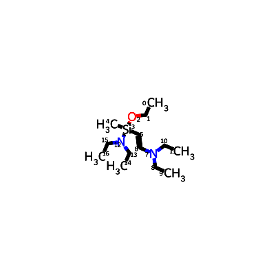 CCO[Si](C)(C=CN(CC)CC)N(CC)CC